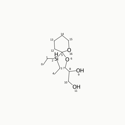 CC[SiH](CC)C1(OCC(O)CO)CCCCO1